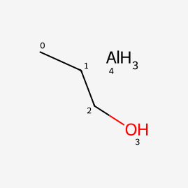 CCCO.[AlH3]